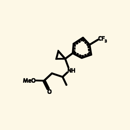 COC(=O)CC(C)NC1(c2ccc(C(F)(F)F)cc2)CC1